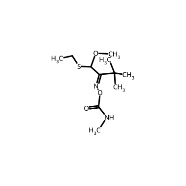 CCSC(OC)C(=NOC(=O)NC)C(C)(C)C